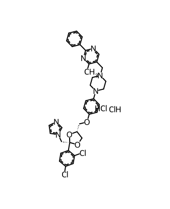 Cc1nc(-c2ccccc2)ncc1CN1CCN(c2ccc(OC[C@@H]3CO[C@@](Cn4ccnc4)(c4ccc(Cl)cc4Cl)O3)cc2)CC1.Cl.Cl